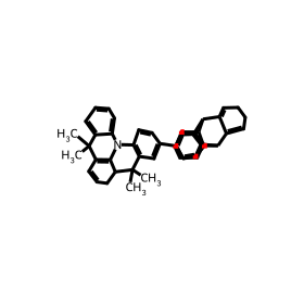 CC1(C)C2=C3C(CC=C2)C(C)(C)c2cc(-c4ccc5c(c4)C4C6=CCCC=C6C5c5ccccc54)ccc2N3c2ccccc21